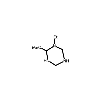 CCN1CNCNC1OC